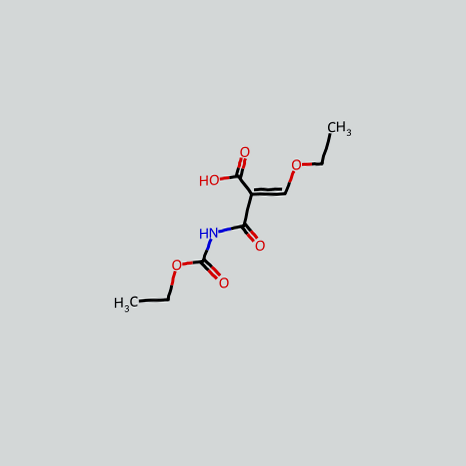 CCOC=C(C(=O)O)C(=O)NC(=O)OCC